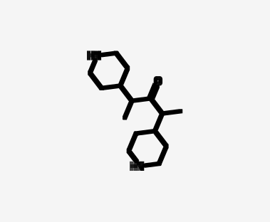 CC(C(=O)C(C)C1CCNCC1)C1CCNCC1